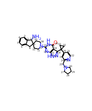 N[C@@H]1c2ccccc2CC12CCN(c1nc3[nH]nc(C4(c5ccnc(CN6CCCC6)c5)CC4)c3c(=O)[nH]1)CC2